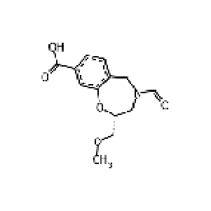 COC[C@H]1CN(C=O)Cc2ccc(C(=O)O)cc2O1